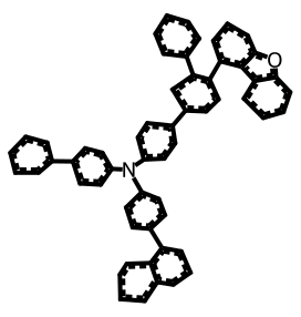 c1ccc(-c2ccc(N(c3ccc(-c4ccc(-c5cccc6oc7ccccc7c56)c(-c5ccccc5)c4)cc3)c3ccc(-c4cccc5ccccc45)cc3)cc2)cc1